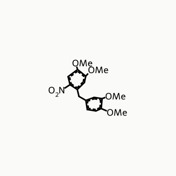 COc1ccc(Cc2cc(OC)c(OC)cc2[N+](=O)[O-])cc1OC